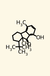 Cc1ccc(O)c2c1C1CCCC(C(C)(C)C)C1(C)C2=O